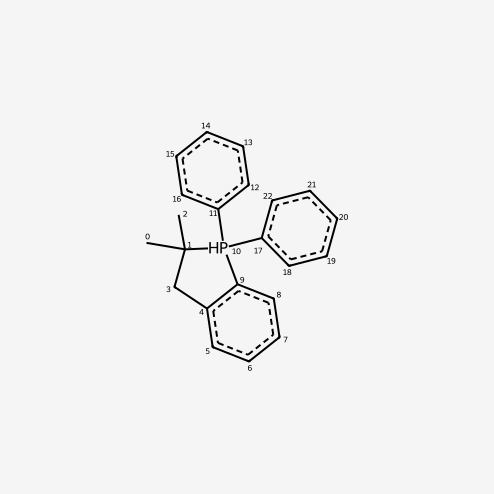 CC1(C)Cc2ccccc2[PH]1(c1ccccc1)c1ccccc1